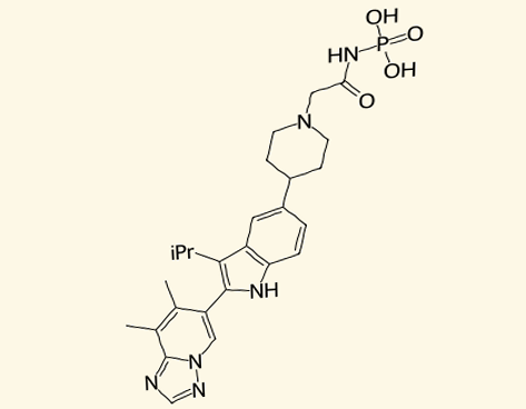 Cc1c(-c2[nH]c3ccc(C4CCN(CC(=O)NP(=O)(O)O)CC4)cc3c2C(C)C)cn2ncnc2c1C